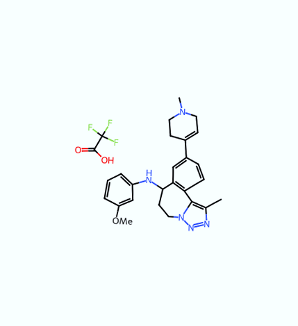 COc1cccc(NC2CCn3nnc(C)c3-c3ccc(C4=CCN(C)CC4)cc32)c1.O=C(O)C(F)(F)F